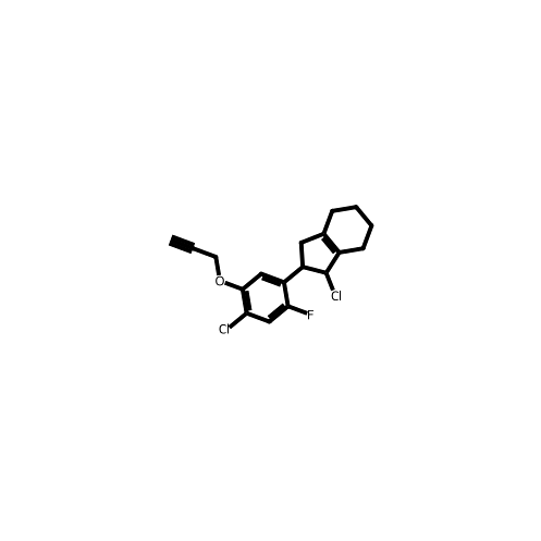 C#CCOc1cc(C2CC3=C(CCCC3)C2Cl)c(F)cc1Cl